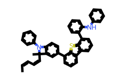 C/C=C\C=C/C1(C)c2cc(-c3cccc4c3sc3c(-c5ccccc5Nc5ccccc5)cccc34)ccc2N1c1ccccc1